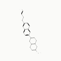 C/C=C/CCc1ccc2cc(C3CCC4CC(CCCCC)CCC4C3)ccc2c1